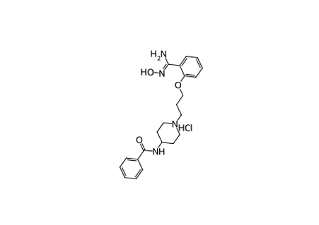 Cl.NC(=NO)c1ccccc1OCCCN1CCC(NC(=O)c2ccccc2)CC1